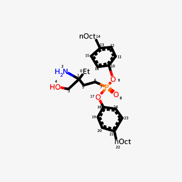 [CH2]CC(N)(CO)CCP(=O)(Oc1ccc(CCCCCCCC)cc1)Oc1ccc(CCCCCCCC)cc1